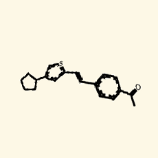 CC(=O)c1ccc(C=Cc2cc(C3CCCC3)cs2)cc1